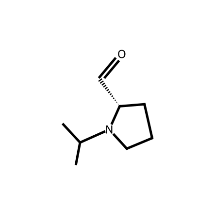 CC(C)N1CCC[C@H]1C=O